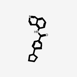 O=C(Nc1cccc2cnccc12)c1ccc(C2CCCC2)cc1